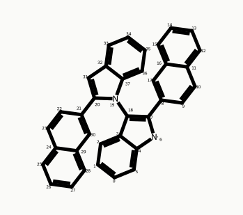 c1ccc2c(c1)[N]C(c1ccc3ccccc3c1)=C2n1c(-c2ccc3ccccc3c2)cc2ccccc21